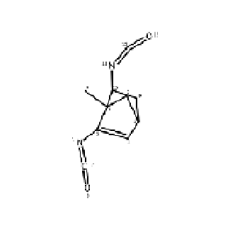 CC12CC(C=C1N=C=O)CC2N=C=O